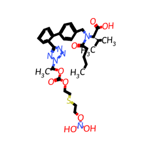 CCCCC(=O)N(Cc1ccc(-c2ccccc2-c2nnn(C(C)OC(=O)OCCSCCON(O)O)n2)cc1)[C@H](C(=O)O)C(C)C